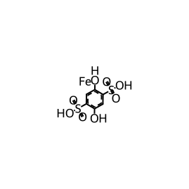 O=S(=O)(O)c1cc(O)c(S(=O)(=O)O)cc1O.[Fe]